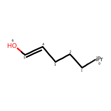 CC(C)CCCC=CO